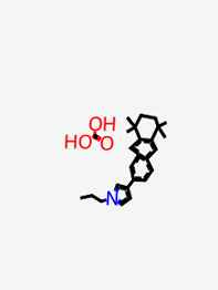 CCCn1ccc(-c2ccc3cc4c(cc3c2)C(C)(C)CCC4(C)C)c1.O=C(O)O